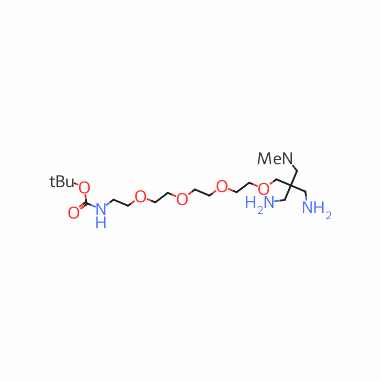 CNCC(CN)(CN)COCCOCCOCCOCCNC(=O)OC(C)(C)C